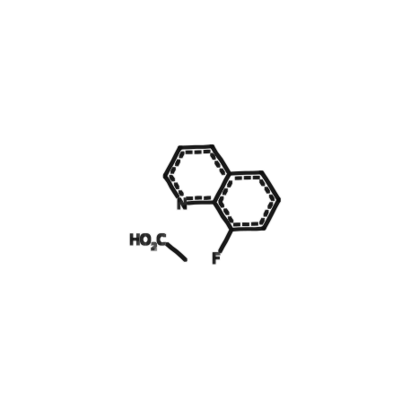 CC(=O)O.Fc1cccc2cccnc12